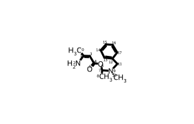 CC(N)=CC(=O)OC(C)N(C)Cc1ccccc1